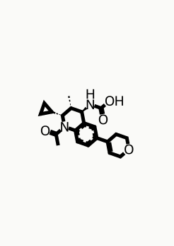 CC(=O)N1c2ccc(C3=CCOCC3)cc2[C@H](NC(=O)O)[C@@H](C)[C@H]1C1CC1